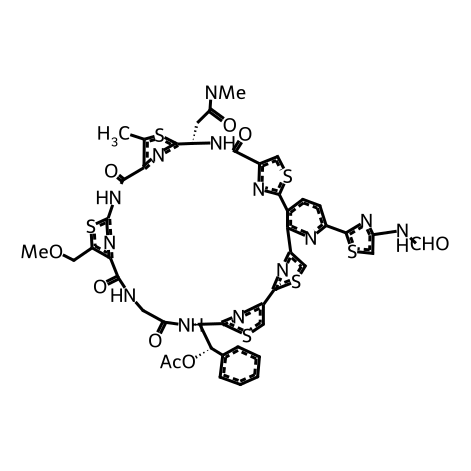 CNC(=O)C[C@@H]1NC(=O)c2csc(n2)-c2ccc(-c3nc(NC=O)cs3)nc2-c2csc(n2)-c2csc(n2)[C@H]([C@@H](OC(C)=O)c2ccccc2)NC(=O)CNC(=O)c2nc(sc2COC)NC(=O)c2nc1sc2C